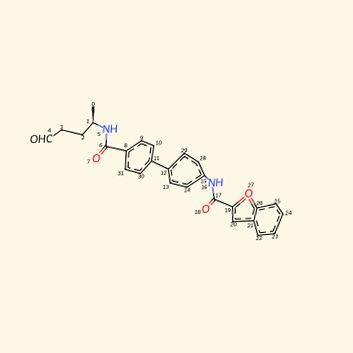 C[C@H](CCC=O)NC(=O)c1ccc(-c2ccc(NC(=O)c3cc4ccccc4o3)cc2)cc1